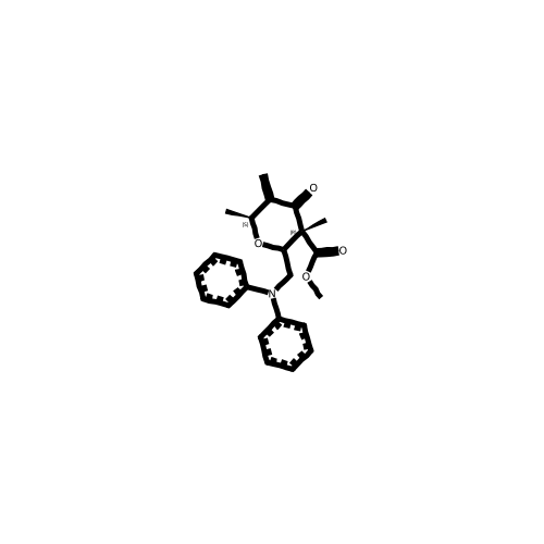 C=C1C(=O)[C@](C)(C(=O)OC)C(CN(c2ccccc2)c2ccccc2)O[C@H]1C